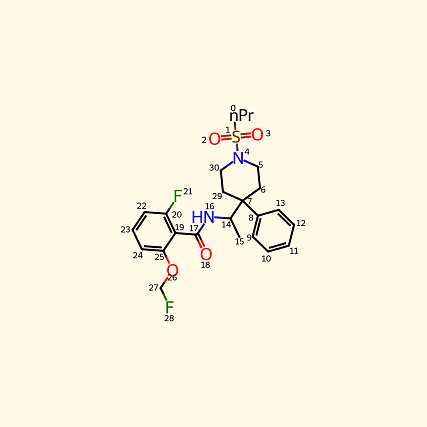 CCCS(=O)(=O)N1CCC(c2ccccc2)(C(C)NC(=O)c2c(F)cccc2OCF)CC1